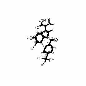 Cc1c(C(C(=O)O)C(C)C)c2cc(O)c(F)cc2n1C(=O)c1ccc(C(F)(F)F)cc1